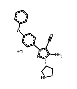 Cl.N#Cc1c(-c2ccc(Oc3ccccc3)cc2)nn([C@@H]2CCNC2)c1N